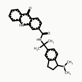 CN(C)C1CCc2cc(C(C)(C)NC(=O)c3ccc4c(=O)c5ccccc5[nH]c4c3)ccc21